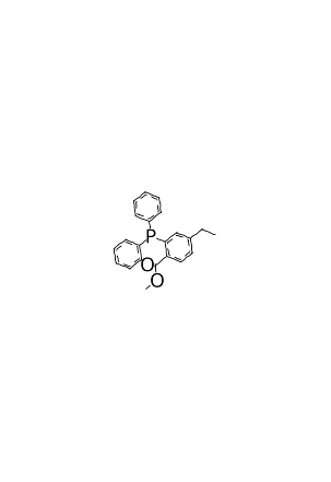 CCc1ccc(C(=O)OC)c(P(c2ccccc2)c2ccccc2)c1